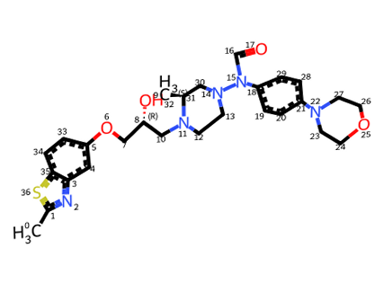 Cc1nc2cc(OC[C@H](O)CN3CCN(N(C=O)c4ccc(N5CCOCC5)cc4)C[C@@H]3C)ccc2s1